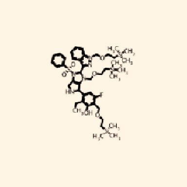 CCc1c(C2NCC3=C2N(COCC[Si](C)(C)C)C(c2nn(COCC[Si](C)(C)C)c4ccccc24)N3S(=O)(=O)c2ccccc2)cc(F)c(COCC[Si](C)(C)C)c1O